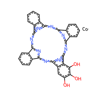 Oc1cc2c3nc4nc(nc5[nH]c(nc6nc(nc([nH]3)c2c(O)c1O)-c1ccccc1-6)c1ccccc51)-c1ccccc1-4.[Co]